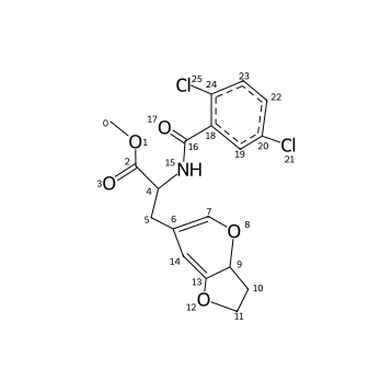 COC(=O)C(CC1=COC2CCOC2=C1)NC(=O)c1cc(Cl)ccc1Cl